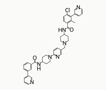 Cc1c(C(=O)NC2CCN(Cc3ccc(N4CCC(NC(=O)c5cccc(-c6cccnc6)c5)CC4)nc3)CC2)ccc(Cl)c1-c1cccnc1